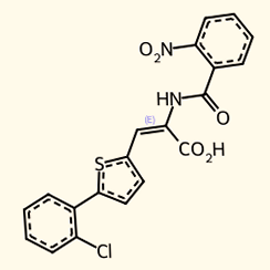 O=C(O)/C(=C\c1ccc(-c2ccccc2Cl)s1)NC(=O)c1ccccc1[N+](=O)[O-]